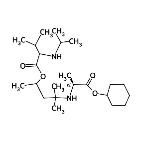 CC(C)NC(C(=O)OC(C)CC(C)(C)N[C@@H](C)C(=O)OC1CCCCC1)C(C)C